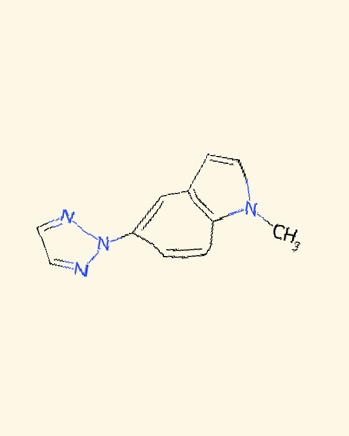 Cn1ccc2cc(-n3nccn3)ccc21